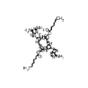 CCCCCCCC(=O)OCOP1(=O)OC[C@H]2C[C@@H](n3cnc4c(N)ncnc43)[C@@H](F)[C@H]2OP(=O)(OCOC(=O)CCCCCCC)OC[C@H]2O[C@@H](n3cnc4c(N)nc(N)nc43)[C@@H](F)[C@H]2O1